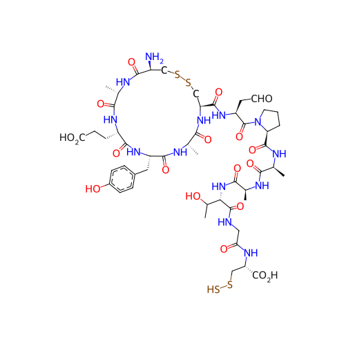 CC(O)[C@H](NC(=O)[C@H](C)NC(=O)[C@H](C)NC(=O)[C@@H]1CCCN1C(=O)[C@H](CC=O)NC(=O)[C@@H]1CSSC[C@H](N)C(=O)N[C@@H](C)C(=O)N[C@@H](CCC(=O)O)C(=O)N[C@@H](Cc2ccc(O)cc2)C(=O)N[C@@H](C)C(=O)N1)C(=O)NCC(=O)N[C@@H](CSS)C(=O)O